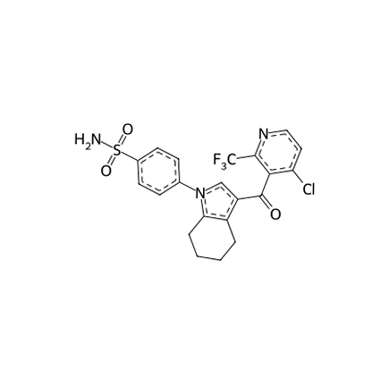 NS(=O)(=O)c1ccc(-n2cc(C(=O)c3c(Cl)ccnc3C(F)(F)F)c3c2CCCC3)cc1